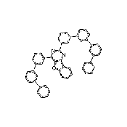 c1ccc(-c2cccc(-c3cccc(-c4cccc(-c5nc(-c6cccc(-c7cccc(-c8ccccc8)c7)c6)c6oc7ccccc7c6n5)c4)c3)c2)cc1